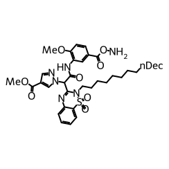 CCCCCCCCCCCCCCCCCCN1C(C(C(=O)Nc2cc(C(=O)ON)ccc2OC)n2cc(C(=O)OC)cn2)=Nc2ccccc2S1(=O)=O